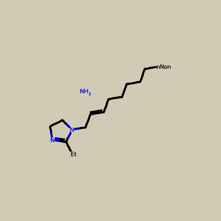 CCCCCCCCCCCCCCC=CCN1CCN=C1CC.N